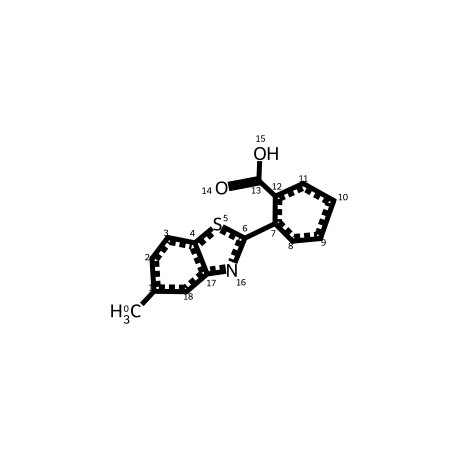 Cc1ccc2sc(-c3ccccc3C(=O)O)nc2c1